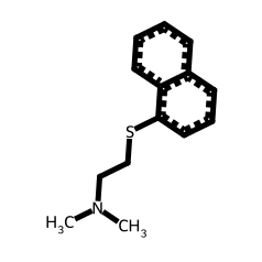 CN(C)CCSc1cccc2ccccc12